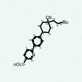 CCCCCCCCc1ccc(-c2ccc(C3CCC(C#N)(CCC(C)CC)CC3)cc2)nc1